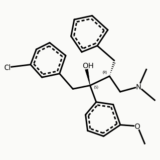 COc1cccc([C@](O)(Cc2cccc(Cl)c2)[C@H](Cc2ccccc2)CN(C)C)c1